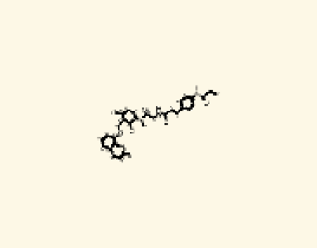 C=CC(=O)Nc1ccc(C=CC(=O)NCC(=O)N(C)c2ccc(Cl)c(COc3cccc4ccc(C)nc34)c2Cl)cc1